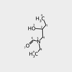 CCC(O)CN([C]=O)CC